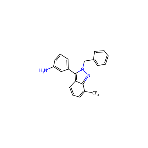 Nc1cccc(-c2c3cccc(C(F)(F)F)c3nn2Cc2ccccc2)c1